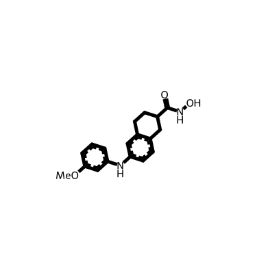 COc1cccc(Nc2ccc3c(c2)CCC(C(=O)NO)C3)c1